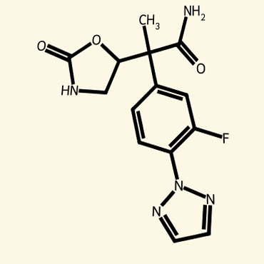 CC(C(N)=O)(c1ccc(-n2nccn2)c(F)c1)C1CNC(=O)O1